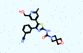 Cc1cc(-c2sc(NC(=O)N3CC4(COC4)C3)nc2-c2cccc(C#N)c2)cc(CO)n1